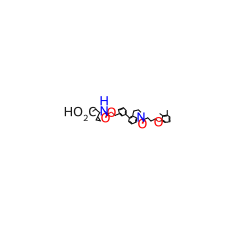 Cc1cccc(OCCCC(=O)N2CCCc3c(-c4cccc(COC(=O)NC(CC(=O)O)C5CC5)c4)cccc32)c1C